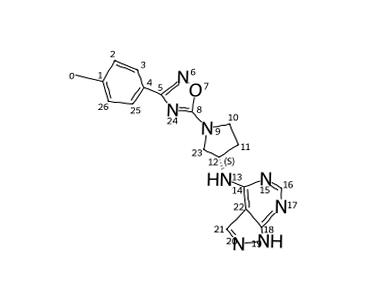 Cc1ccc(-c2noc(N3CC[C@H](Nc4ncnc5[nH]ncc45)C3)n2)cc1